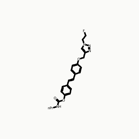 CCCNC(=O)Oc1ccc(/C=C/c2ccc(OCc3cn(CCF)nn3)cc2)cc1